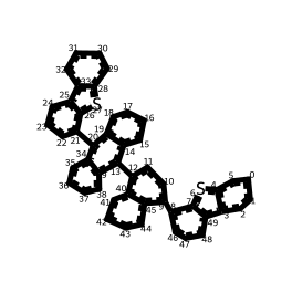 c1ccc2c(c1)sc1c(-c3ccc(-c4c5ccccc5c(-c5cccc6c5sc5ccccc56)c5ccccc45)c4ccccc34)cccc12